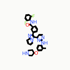 Cc1cc(OC2CCNCC2)ccc1Nc1nccc(-c2c(-c3cccc(C(=O)Nc4c(F)cccc4F)c3)nc3ccccn23)n1